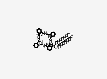 FC(F)(F)C(F)(F)C(F)(F)C(F)(F)C(F)(F)C(F)(F)C(F)(F)[O][Sn][c]1cccc2c3nc4nc(nc5[nH]c(nc6nc(nc([nH]3)c12)-c1ccccc1-6)c1ccccc51)-c1ccccc1-4